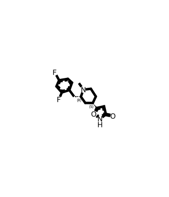 CN1CC[C@H](c2cc(=O)[nH]o2)C[C@@H]1Cc1ccc(F)cc1F